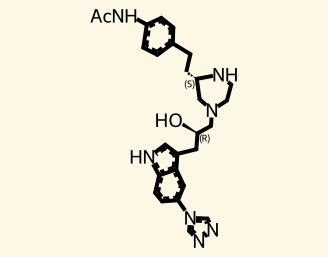 CC(=O)Nc1ccc(CC[C@H]2CN(C[C@H](O)Cc3c[nH]c4ccc(-n5cnnc5)cc34)CCN2)cc1